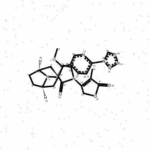 CO[C@@H](CN1[C@@H]2CC[C@H]1C[C@]1(CCN(C3=C(C)C(=O)OC3)C1=O)C2)c1ccc(-n2cnnn2)nc1